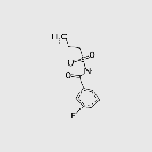 CCCS(=O)(=O)[N]C(=O)c1cccc(F)c1